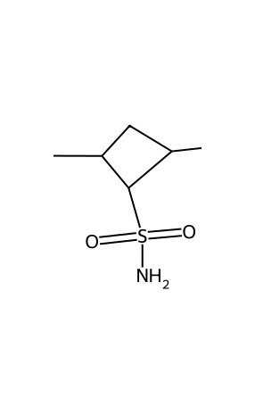 CC1CC(C)C1S(N)(=O)=O